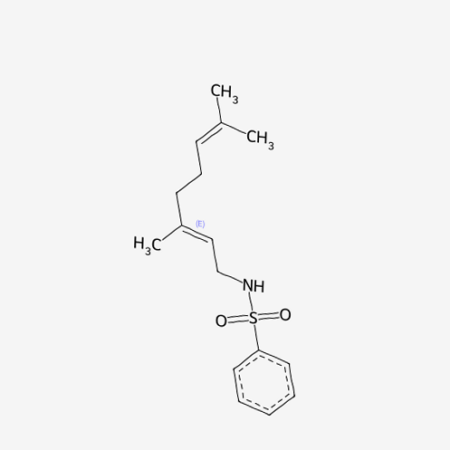 CC(C)=CCC/C(C)=C/CNS(=O)(=O)c1ccccc1